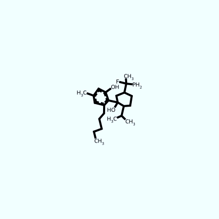 CCCCCc1cc(C)cc(O)c1C1(O)CC(C(C)(F)P)CCC1C(C)C